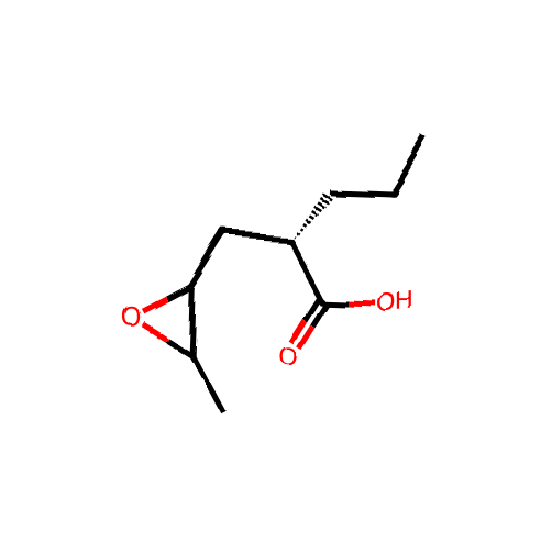 CCC[C@@H](CC1OC1C)C(=O)O